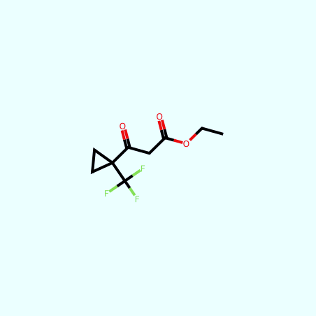 CCOC(=O)CC(=O)C1(C(F)(F)F)CC1